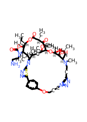 CC[C@H]1OC(=O)[C@H](C)C(=O)[C@H](C)[C@H]2O[C@@H]3O[C@H](C)C[C@@H]([C@H]3O)N(C)CCc3cn(nn3)CCCOc3ccc(cc3)-c3nnc(s3)N=C([C@H](C)C[C@@]2(C)OC)[C@H](C)[C@H]2N(CCN)C(=O)O[C@]12C